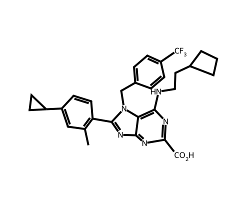 Cc1cc(C2CC2)ccc1-c1nc2nc(C(=O)O)nc(NCCC3CCC3)c2n1Cc1ccc(C(F)(F)F)cc1